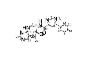 C=C(/N=C\N(C)Cc1ccccc1)C(=O)N[C@H]1CNc2ncncc2N(C)C1=O